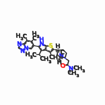 Cc1c(-c2[nH]c3sc([C@@H]4C[C@@H]5CCC4CN5CC(=O)N(C)C)c(C)c3c2C(C)C)cn2ncnc2c1C